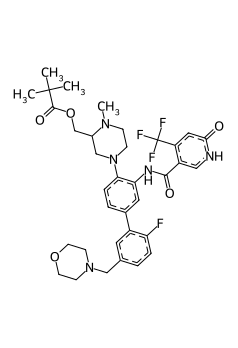 CN1CCN(c2ccc(-c3cc(CN4CCOCC4)ccc3F)cc2NC(=O)c2c[nH]c(=O)cc2C(F)(F)F)CC1COC(=O)C(C)(C)C